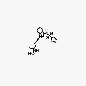 O=C(CCC#Cn1cc(NS(=O)(=O)c2ccccc2)c2ccccc21)NO